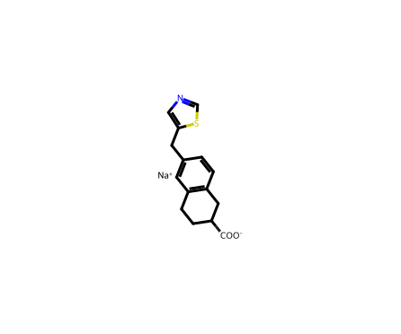 O=C([O-])C1CCc2cc(Cc3cncs3)ccc2C1.[Na+]